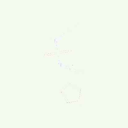 O=S(=O)(N=C=S)N=C=S.c1ccoc1